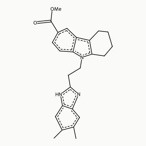 COC(=O)c1ccc2c(c1)c1c(n2CCc2nc3cc(C)c(C)cc3[nH]2)CCCC1